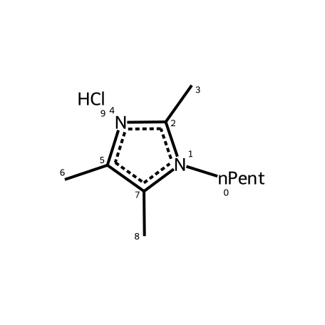 CCCCCn1c(C)nc(C)c1C.Cl